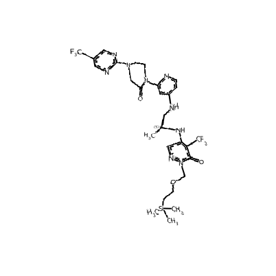 C[C@@H](CNc1ccnc(N2CCN(c3ncc(C(F)(F)F)cn3)CC2=O)c1)Nc1cnn(COCC[Si](C)(C)C)c(=O)c1C(F)(F)F